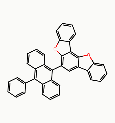 c1ccc(-c2c3ccccc3c(-c3cc4c5ccccc5oc4c4c3oc3ccccc34)c3ccccc23)cc1